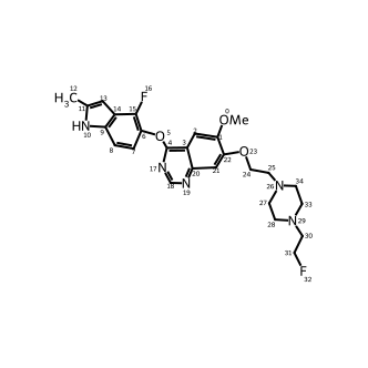 COc1cc2c(Oc3ccc4[nH]c(C)cc4c3F)ncnc2cc1OCCN1CCN(CCF)CC1